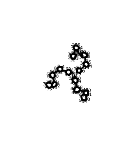 c1cc(-c2ccc(N(c3ccc(-c4cccc(-c5cccc(-n6c7ccccc7c7ccccc76)c5)c4)cc3)c3ccc(-c4cccc(-c5cccc6ccccc56)c4)cc3)cc2)cc(-c2cccc(-c3cccc4ccccc34)c2)c1